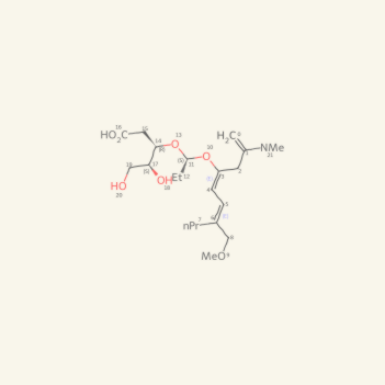 C=C(C/C(=C\C=C(/CCC)COC)O[C@@H](CC)O[C@H](CC(=O)O)[C@@H](O)CO)NC